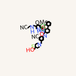 COc1cc(C(=O)NC2(c3nc4cc(CN5CCC(F)(CO)CC5)cc(C#N)c4o3)C=CC=C(c3ccccc3Cl)C2Cl)ncc1CNCCC#N